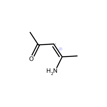 CC(=O)/[C]=C(/C)N